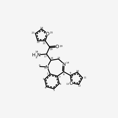 CN1c2ccccc2C(c2ccco2)=NCC1C(N)C(=O)c1ccco1